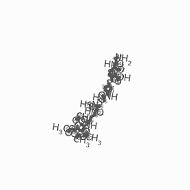 CC(=O)OCC1O[C@@H](OC(C)=O)[C@@H](NC(=O)CCCNC(=O)C(CSCC(=O)Nc2ccc(SCC3=C(C(=O)O)N4C(=O)C(NC(=O)CN)C4SC3)cc2)NOS)C(OC(C)=O)[C@@H]1OC(C)=O